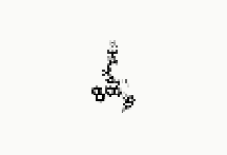 CN(c1nc(OC[C@@]23CCCN2C[C@H](F)C3)nc2c1CCN(c1cccc3cccc(Cl)c13)C2)[C@@H]1CCN(C(=O)/C=C/c2nc(C(C)(F)F)no2)C1